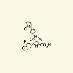 O=C(O)c1nn(-c2cc(F)c3c(c2)CCO3)c2c1C1(CC1)CN(c1ccc(-n3ccccc3=O)cc1)C2=O